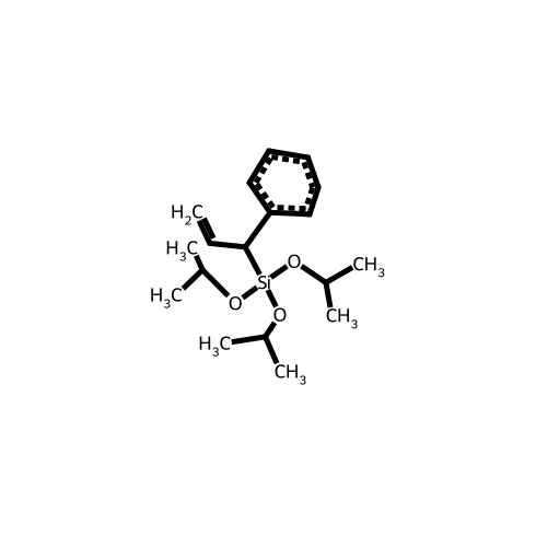 C=CC(c1ccccc1)[Si](OC(C)C)(OC(C)C)OC(C)C